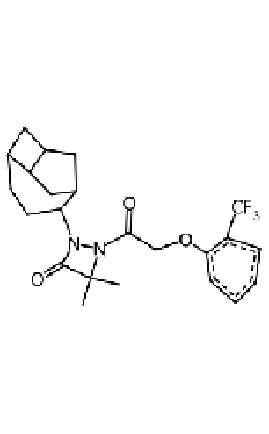 CC1(C)C(=O)N(C2CCC3CC4CC2CC34)N1C(=O)COc1ccccc1C(F)(F)F